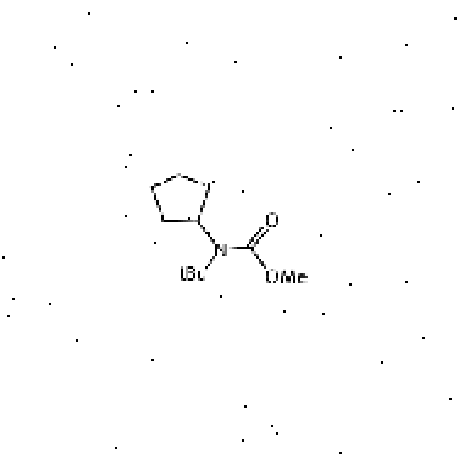 COC(=O)N(C1CCCC1)C(C)(C)C